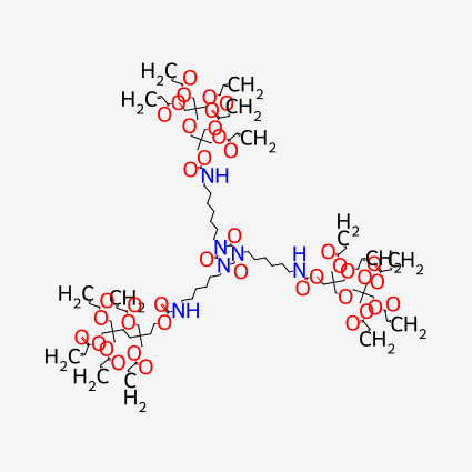 C=CC(=O)OCC(CCOC(=O)NCCCCCCn1c(=O)n(CCCCCCCNC(=O)OCC(COCC(COC(=O)C=C)(COC(=O)C=C)COC(=O)C=C)(COC(=O)C=C)COC(=O)C=C)c(=O)n(CCCCCCNC(=O)OCC(COCC(COC(=O)C=C)(COC(=O)C=C)COC(=O)C=C)(COC(=O)C=C)COC(=O)C=C)c1=O)(CCC(COC(=O)C=C)(COC(=O)C=C)COC(=O)C=C)COC(=O)C=C